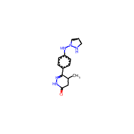 CC1CC(=O)NN=C1c1ccc(NN2C=CCN2)cc1